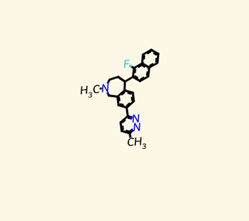 Cc1ccc(-c2ccc3c(c2)CN(C)CCC3c2ccc3ccccc3c2F)nn1